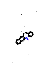 IN1c2ccccc2CCc2cc3ccccc3cc21